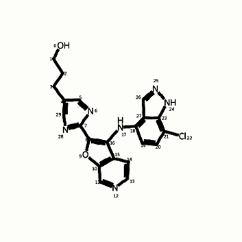 OCCCc1cnc(-c2oc3cnccc3c2Nc2ccc(Cl)c3[nH]ncc23)nc1